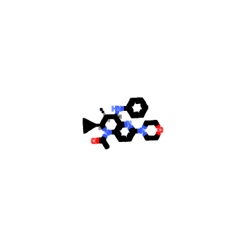 CC(=O)N1c2ccc(N3CCOCC3)nc2[C@H](Nc2ccccc2)[C@@H](C)[C@@H]1C1CC1